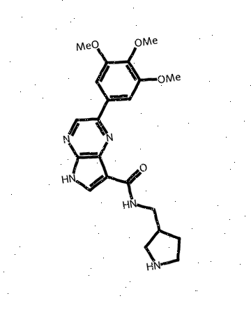 COc1cc(-c2cnc3[nH]cc(C(=O)NCC4CCNC4)c3n2)cc(OC)c1OC